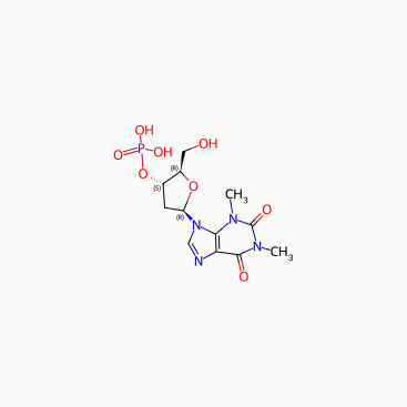 Cn1c(=O)c2ncn([C@H]3C[C@H](OP(=O)(O)O)[C@@H](CO)O3)c2n(C)c1=O